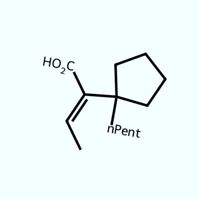 C/C=C(/C(=O)O)C1(CCCCC)CCCC1